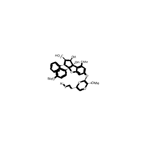 COc1ccc([C@@]23Oc4cc(O[C@@H]5O[C@@H](CCSC(C)=O)CO[C@H]5OC)cc(OC)c4[C@]2(O)[C@H](O)[C@H](C(=O)O)[C@H]3c2ccccc2)cc1